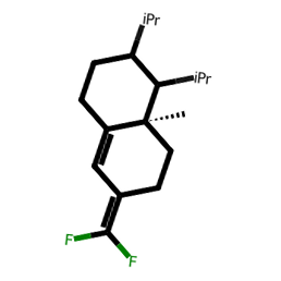 CC(C)C1CCC2=CC(=C(F)F)CC[C@]2(C)C1C(C)C